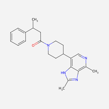 Cc1nc2c(C)ncc(C3CCN(C(=O)CC(C)c4ccccc4)CC3)c2[nH]1